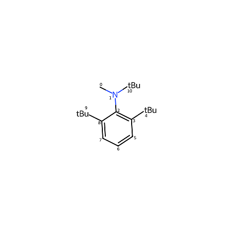 CN(c1c(C(C)(C)C)cccc1C(C)(C)C)C(C)(C)C